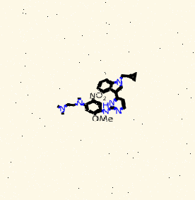 COc1cc(N(C)CCN(C)C)c([N+](=O)[O-])cc1Nc1nccc(-c2cn(CC3CC3)c3ccccc23)n1